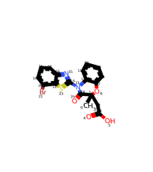 CC1(CC(=O)O)Oc2ccccc2N(c2nc3cccc(Br)c3s2)C1=O